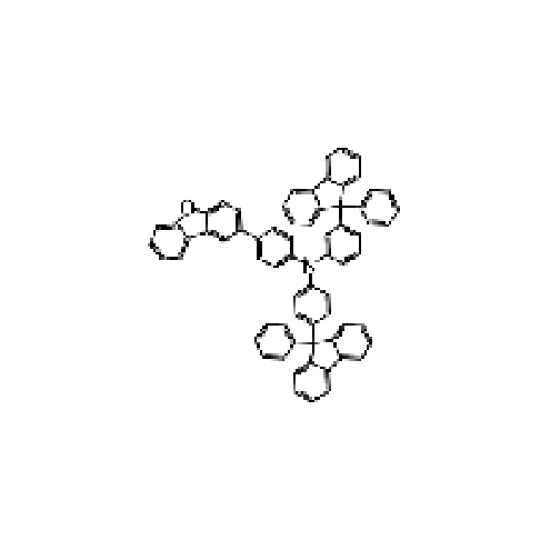 c1ccc(C2(c3ccc(N(c4ccc(-c5ccc6oc7ccccc7c6c5)cc4)c4cccc(C5(c6ccccc6)c6ccccc6-c6ccccc65)c4)cc3)c3ccccc3-c3ccccc32)cc1